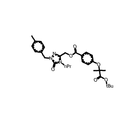 CCCn1c(COC(=O)c2ccc(OC(C)(C)C(=O)OC(C)(C)C)cc2)nn(Cc2ccc(C)cc2)c1=O